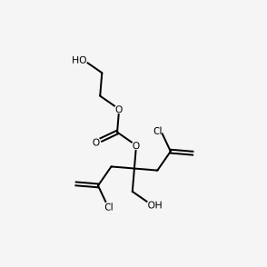 C=C(Cl)CC(CO)(CC(=C)Cl)OC(=O)OCCO